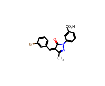 CC1=NN(c2cccc(C(=O)O)c2)C(=O)C1=Cc1cccc(Br)c1